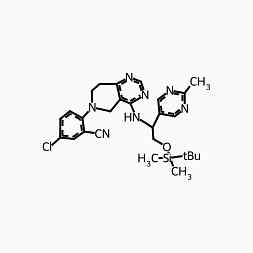 Cc1ncc(C(CO[Si](C)(C)C(C)(C)C)Nc2ncnc3c2CN(c2ccc(Cl)cc2C#N)CC3)cn1